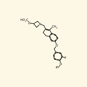 CC1=C(CN2CC(OC(=O)O)C2)CCc2cc(OCc3ccc(OC(C)C)c(F)c3)ccc21